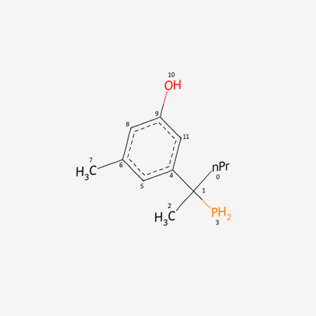 CCCC(C)(P)c1cc(C)cc(O)c1